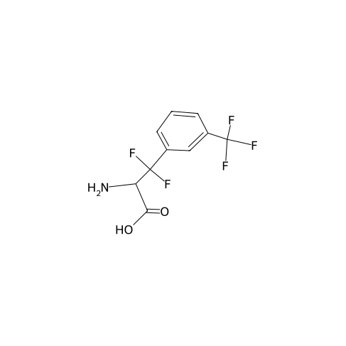 NC(C(=O)O)C(F)(F)c1cccc(C(F)(F)F)c1